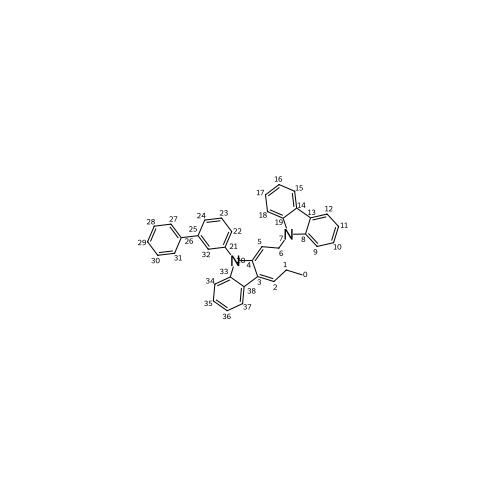 CC/C=c1\c(=C/Cn2c3ccccc3c3ccccc32)n(-c2cccc(-c3ccccc3)c2)c2ccccc12